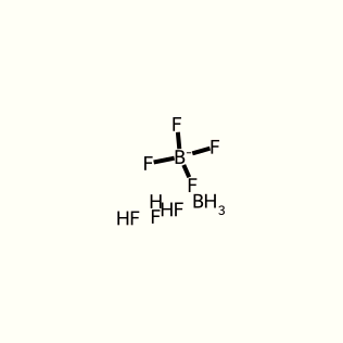 B.F.F.F.F[B-](F)(F)F